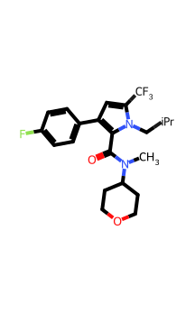 CC(C)Cn1c(C(F)(F)F)cc(-c2ccc(F)cc2)c1C(=O)N(C)C1CCOCC1